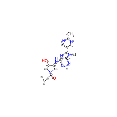 CCn1c(-c2cnc(C)nc2)nc2c(NC3CN(C(=O)C4CC4)CC3O)ncnc21